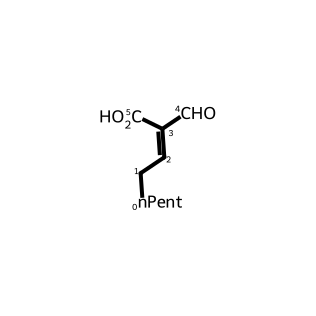 CCCCCCC=C(C=O)C(=O)O